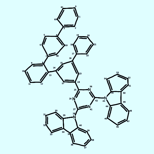 c1ccc(-c2ccc(-c3ccccc3-c3cc(-c4ccccc4)cc(-c4nc(-n5c6ccccc6c6ccccc65)nc(-n5c6ccccc6c6ccccc65)n4)c3)cc2)cc1